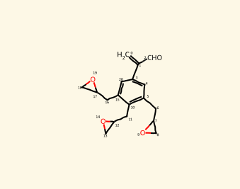 C=C(C=O)c1cc(CC2CO2)c(CC2CO2)c(CC2CO2)c1